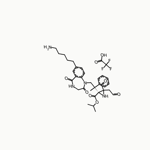 CC(C)OC(=O)[C@]1(C(C)(CN2C(=O)CNC(=O)c3cc(CCCCCN)ccc32)c2ccccc2)NC1(C=O)CC=O.O=C(O)C(F)(F)F